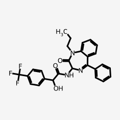 CCCN1C(=O)C(NC(=O)C(O)c2ccc(C(F)(F)F)cc2)N=C(c2ccccc2)c2ccccc21